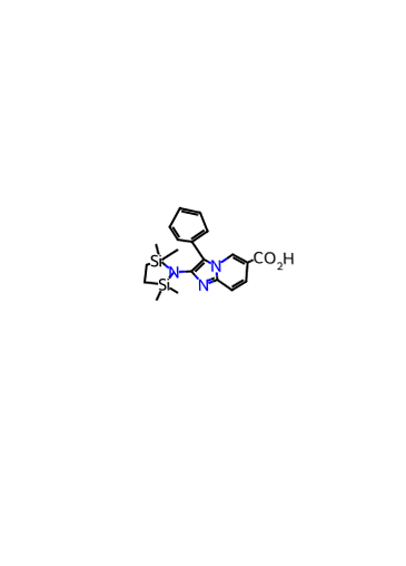 C[Si]1(C)CC[Si](C)(C)N1c1nc2ccc(C(=O)O)cn2c1-c1ccccc1